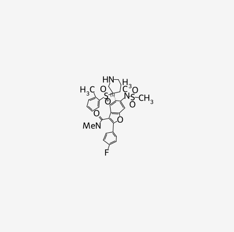 CNC(=O)c1c(-c2ccc(F)cc2)oc2cc(N(C)S(C)(=O)=O)c([C@@]3(S(=O)(=O)c4ccccc4C)CCCNC3)cc12